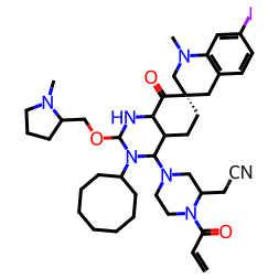 C=CC(=O)N1CCN(C2C3CC[C@]4(Cc5ccc(I)cc5N(C)C4)C(=O)C3NC(OCC3CCCN3C)N2C2CCCCCCC2)CC1CC#N